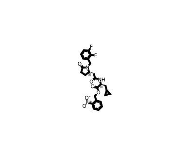 O=C(C[C@@H]1CCC(=O)N1Cc1cccc(F)c1F)N[C@@H](CC1CC1)C(=O)OCc1ccccc1[N+](=O)[O-]